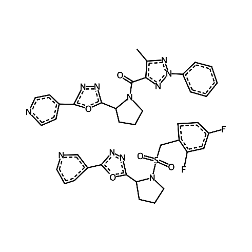 Cc1nn(-c2ccccc2)nc1C(=O)N1CCCC1c1nnc(-c2ccncc2)o1.O=S(=O)(Cc1ccc(F)cc1F)N1CCCC1c1nnc(-c2cccnc2)o1